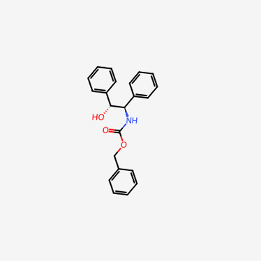 O=C(N[C@H](c1ccccc1)[C@H](O)c1ccccc1)OCc1ccccc1